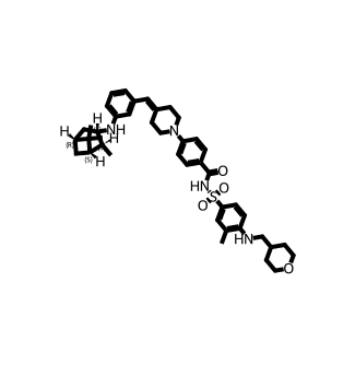 Cc1cc(S(=O)(=O)NC(=O)c2ccc(N3CCC(=Cc4cccc(N[C@H]5C[C@H]6C[C@@H]([C@@H]5C)C6(C)C)c4)CC3)cc2)ccc1NCC1CCOCC1